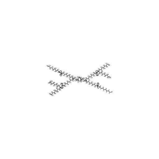 CCCCCCCCCOC(=O)CCCCCCCN(CCCCCCCC(=O)OC(CCCCCCCC)CCCCCCCC)CCN1CCN(CCN(CCCCCCCC(=O)OCCCCCCCCC)CCCCCCCC(=O)OC(CCCCCCCC)CCCCCCCC)CC1